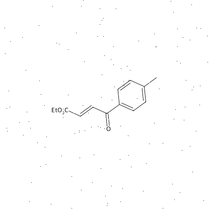 CCOC(=O)C=CC(=O)c1ccc(C)cc1